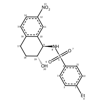 CCc1ccc(S(=O)(=O)N[C@@H]2c3cc([N+](=O)[O-])ccc3CC[C@H]2O)cc1